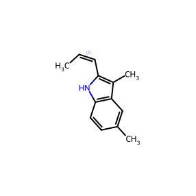 C/C=C\c1[nH]c2ccc(C)cc2c1C